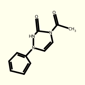 CC(=O)N1C=CN(c2ccccc2)NC1=O